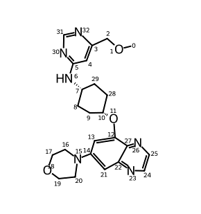 COCc1cc(N[C@H]2CC[C@@H](Oc3cc(N4CCOCC4)cc4nccnc34)CC2)ncn1